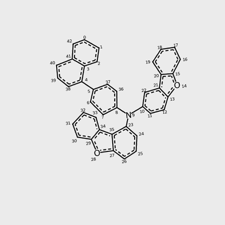 c1ccc2c(-c3ccc(N(c4ccc5oc6ccccc6c5c4)c4cccc5oc6ccccc6c45)cc3)cccc2c1